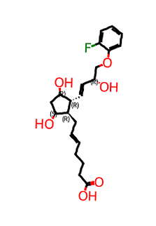 O=C(O)CCCC=CC[C@@H]1[C@@H](C=C[C@@H](O)COc2ccccc2F)[C@H](O)C[C@@H]1O